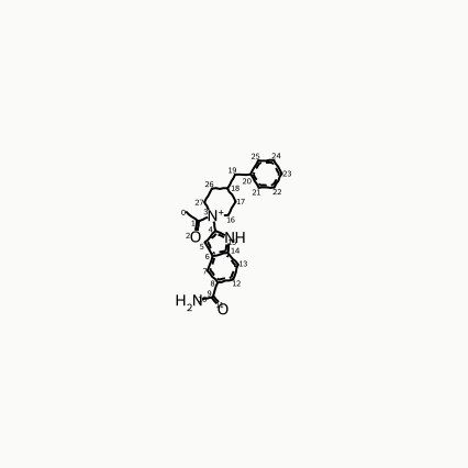 CC(=O)[N+]1(c2cc3cc(C(N)=O)ccc3[nH]2)CCC(Cc2ccccc2)CC1